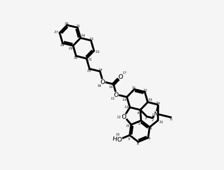 CN1CCC23c4c5ccc(O)c4OC2C(OC(=O)OCCC2=CCc4ccccc4C2)C=CC3C1C5